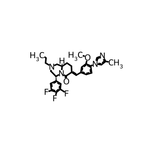 CCCN1C[C@H]2CC/C(=C\c3ccc(-n4cnc(C)c4)c(OC)c3)C(=O)N2[C@@H](c2cc(F)c(F)c(F)c2)C1